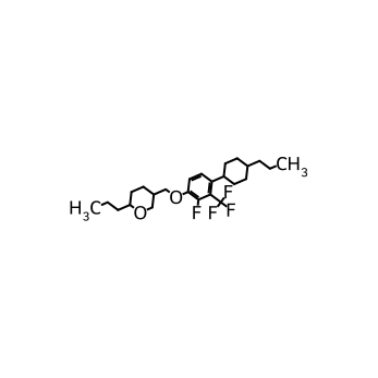 CCCC1CCC(c2ccc(OCC3CCC(CCC)OC3)c(F)c2C(F)(F)F)CC1